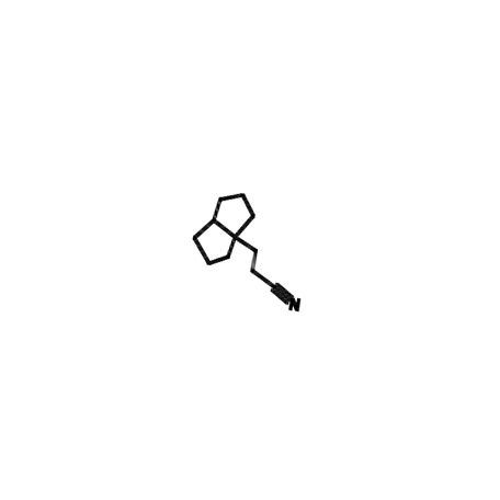 N#CCCC12CCCC1CCC2